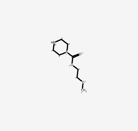 COCCOC(=O)N1CCNCC1